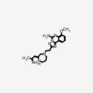 COc1cccc2c1nc(N)n1nc(CCN3CCCN/C(=C\C(C)=N)C3)nc21